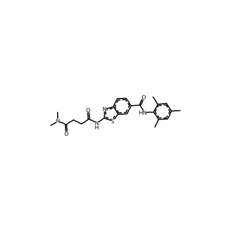 Cc1cc(C)c(NC(=O)c2ccc3nc(NC(=O)CCC(=O)N(C)C)sc3c2)c(C)c1